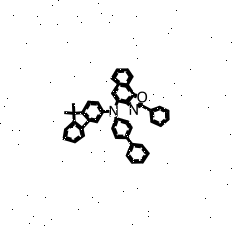 CC1(C)c2ccccc2-c2cc(N(c3ccc(-c4ccccc4)cc3)c3cc4ccccc4c4oc(-c5ccccc5)nc34)ccc21